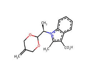 C=C1COC([C@@H](C)n2c(C)c(C(=O)O)c3ccccc32)OC1